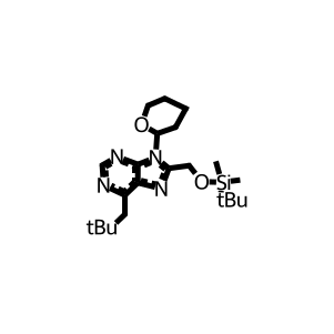 CC(C)(C)Cc1ncnc2c1nc(CO[Si](C)(C)C(C)(C)C)n2C1CCCCO1